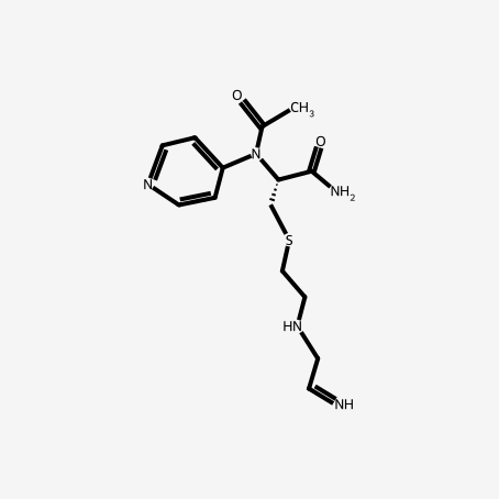 CC(=O)N(c1ccncc1)[C@@H](CSCCNCC=N)C(N)=O